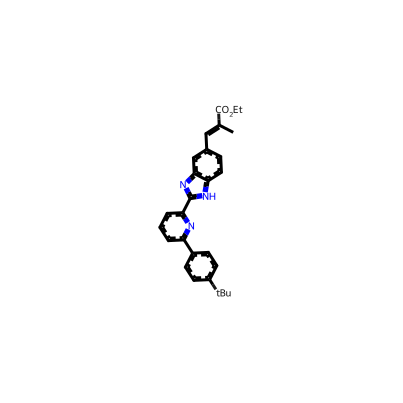 CCOC(=O)/C(C)=C/c1ccc2[nH]c(-c3cccc(-c4ccc(C(C)(C)C)cc4)n3)nc2c1